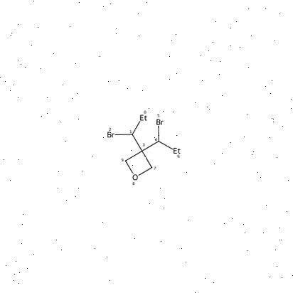 CCC(Br)C1(C(Br)CC)COC1